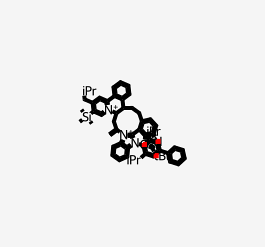 C=C1CC2C(CCc3ccc4nc(C(C)(C)C)oc4c3-c3n(-c4c(C(C)C)cc(-c5ccccc5)cc4C(C)C)c4ccccc4[n+]31)c1ccccc1-c1cc(CC(C)C)c([Si](C)(C)C)c[n+]12